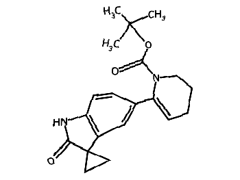 CC(C)(C)OC(=O)N1CCCC=C1c1ccc2c(c1)C1(CC1)C(=O)N2